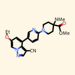 CCOc1cc(-c2ccc(N3CCC(NC)(C(=O)OC)CC3)nc2)c2c(C#N)cnn2c1